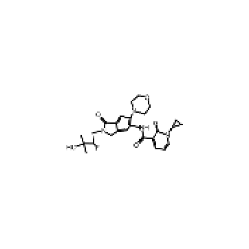 CC(C)(O)C(F)CN1Cc2cc(NC(=O)c3cccn(C4CC4)c3=O)c(N3CCOCC3)cc2C1=O